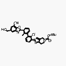 Cc1c(-c2nc3cc(CO)cc(C#N)c3o2)cccc1-c1cccc(-n2cc3c(n2)CCN(C(=O)OC(C)(C)C)C3)c1Cl